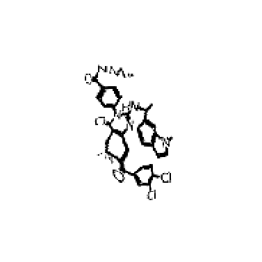 CNC(=O)c1ccc(-n2c(NC(C)c3ccc4ccn(C)c4c3)nc3c(c2=O)C[C@@H](C)C(C(=O)c2ccc(Cl)c(Cl)c2)C3)cc1